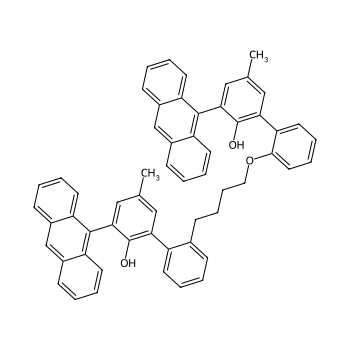 Cc1cc(-c2ccccc2CCCCOc2ccccc2-c2cc(C)cc(-c3c4ccccc4cc4ccccc34)c2O)c(O)c(-c2c3ccccc3cc3ccccc23)c1